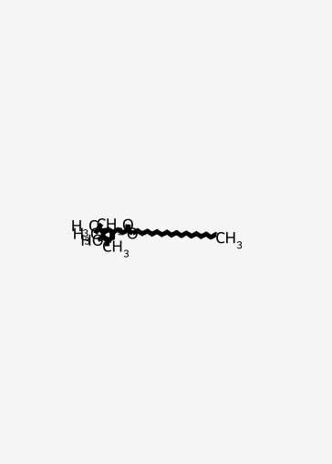 CCCCCCCCCCCCCCCCCCOC(=O)CCc1cc(C)c(O)c(C(C)(C)C)c1